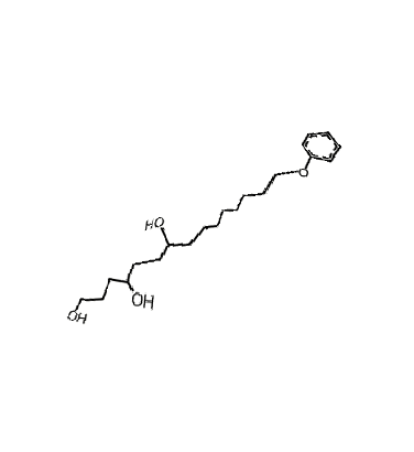 OCCCC(O)CCC(O)CCCCCCCCOc1ccccc1